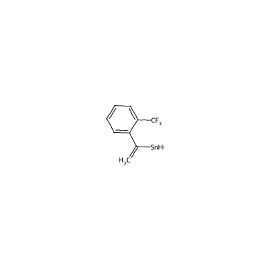 C=[C]([SnH])c1ccccc1C(F)(F)F